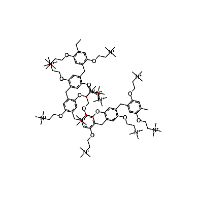 CCc1cc(OCC[N+](C)(C)C)c(Cc2cc(OCC[N+](C)(C)C)c(Cc3cc(OCC[N+](C)(C)C)c(Cc4cc(OCC[N+](C)(C)C)c(Cc5cc(OCC[N+](C)(C)C)c(Cc6cc(OCC[N+](C)(C)C)c(C)cc6OCC[N+](C)(C)C)cc5OCC[N+](C)(C)C)cc4OCC[N+](C)(C)C)cc3OCC[N+](C)(C)C)cc2OCC[N+](C)(C)C)cc1OCC[N+](C)(C)C